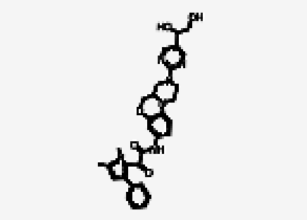 Cc1cc(-c2ccccc2)c(C(=O)C(=O)Nc2ccc3c(c2)OCC2CN(c4ncc(C(O)CO)cn4)CCN32)n1C